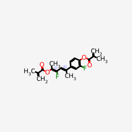 C=C(C)C(=O)O/C(C)=C(F)/C=C(\C)c1ccc(OC(=O)C(=C)C)c(F)c1